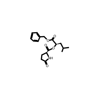 CC(C)C[C@@H](OC(=O)[C@@H]1CCC(=O)N1)C(=O)OCc1ccccc1